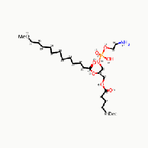 CCCCCCCCCCCCCC(=O)OC[C@H](COP(=O)(O)OCCN)OC(=O)CCCCCCCCCCCOC